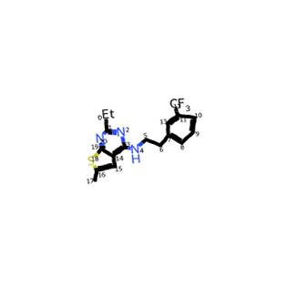 CCc1nc(NCCc2cccc(C(F)(F)F)c2)c2cc(C)sc2n1